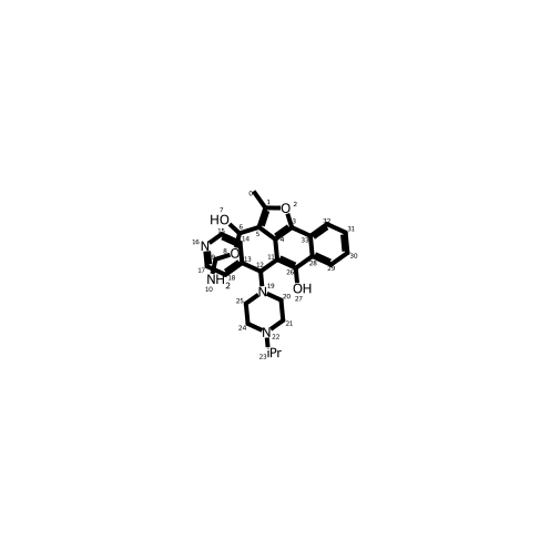 Cc1oc2c(c1C(O)OCN)c(C(c1ccncc1)N1CCN(C(C)C)CC1)c(O)c1ccccc12